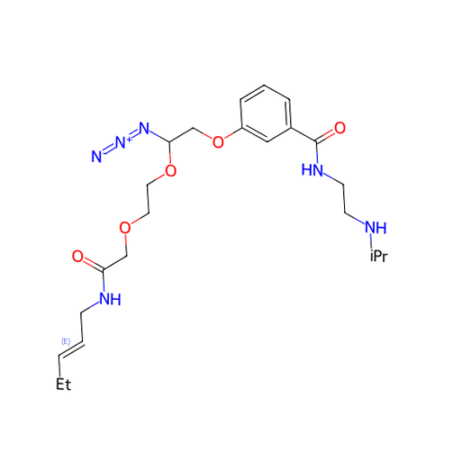 CC/C=C/CNC(=O)COCCOC(COc1cccc(C(=O)NCCNC(C)C)c1)N=[N+]=[N-]